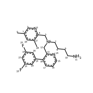 Cc1cnc(CN(CCCCN)Cc2ncccc2-c2cc(F)cc(F)c2)c(C)c1